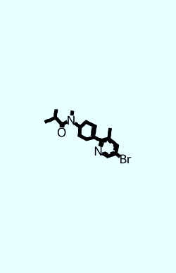 Cc1cc(Br)cnc1C1=CCC(N(C)C(=O)C(C)C)CC1